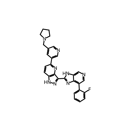 Fc1ccccc1-c1cncc2[nH]c(-c3n[nH]c4ccc(-c5cncc(CN6CCCC6)c5)nc34)nc12